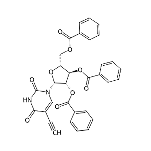 C#Cc1cn([C@@H]2O[C@H](COC(=O)c3ccccc3)[C@@H](OC(=O)c3ccccc3)[C@@H]2OC(=O)c2ccccc2)c(=O)[nH]c1=O